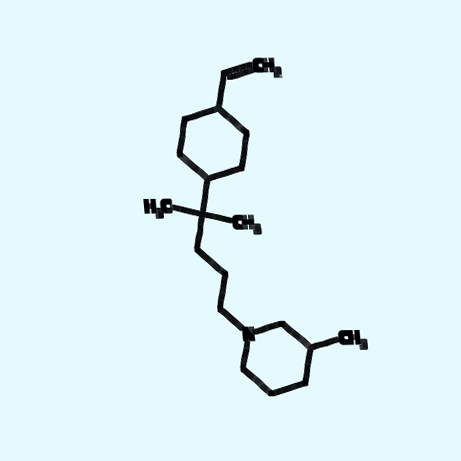 C=CC1CCC(C(C)(C)CCCN2CCCC(C)C2)CC1